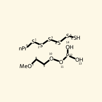 CCCSSSSSS.COCCOOP(O)O